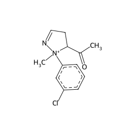 CC(=O)C1CC=N[N+]1(C)c1cccc(Cl)c1